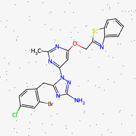 Cc1nc(OCc2nc3ccccc3s2)cc(-n2nc(N)nc2Cc2ccc(Cl)cc2Br)n1